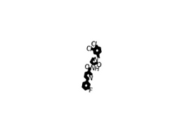 O=C(NC1CCN(Cc2ccc(Cl)c(Cl)c2)C1=O)c1ccc(-c2cccc(F)c2)nc1